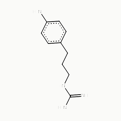 N=C(N)NCCCc1ccc(N)cc1